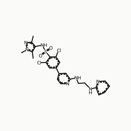 Cc1nn(C)c(C)c1NS(=O)(=O)c1c(Cl)cc(-c2ccnc(NCCNc3ccccn3)c2)cc1Cl